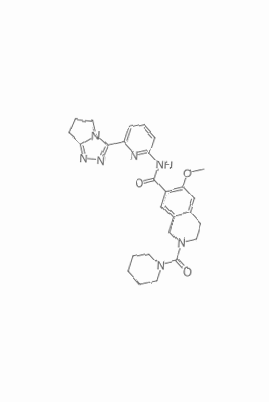 COc1cc2c(cc1C(=O)Nc1cccc(-c3nnc4n3CCC4)n1)CN(C(=O)N1CCCCC1)CC2